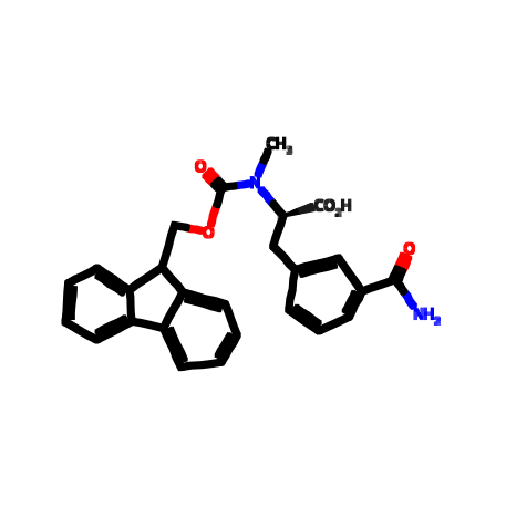 CN(C(=O)OCC1c2ccccc2-c2ccccc21)[C@H](Cc1cccc(C(N)=O)c1)C(=O)O